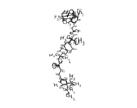 C=CC(=O)Oc1c(C)cc(CCC(=O)OCC(C)(C)C2CCC3(CCC(C(C)(C)COC(=O)CCc4cc(C)c(O)c(C(C)(C)C)c4)CC3)CC2)cc1C(C)(C)C